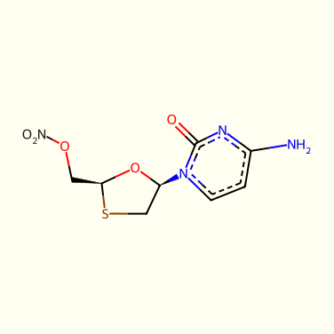 Nc1ccn([C@H]2CS[C@@H](CO[N+](=O)[O-])O2)c(=O)n1